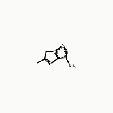 CC1=Nc2c(N)cnn2C1